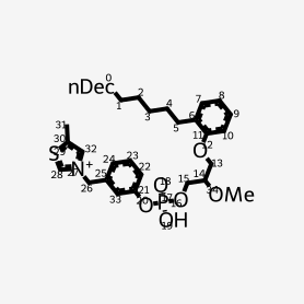 CCCCCCCCCCCCCCCc1ccccc1OCC(COP(=O)(O)Oc1cccc(C[n+]2csc(C)c2)c1)OC